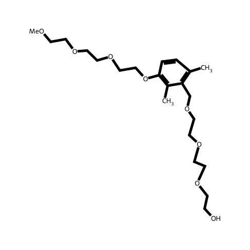 COCCOCCOCCOc1ccc(C)c(COCCOCCOCCO)c1C